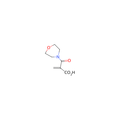 C=C(C(=O)O)C(=O)N1CCOCC1